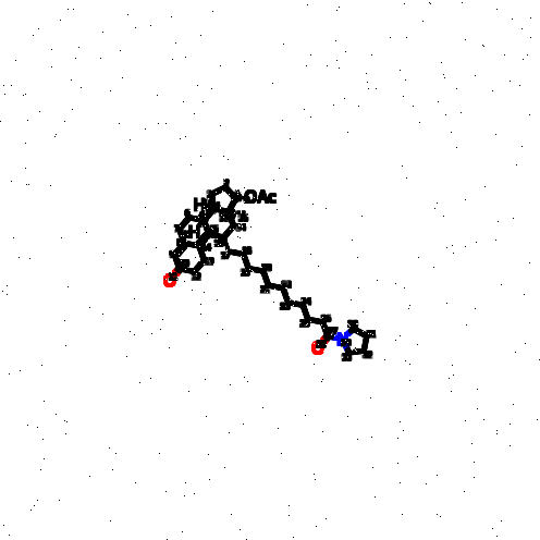 CC(=O)O[C@H]1CC[C@H]2[C@@H]3CCC4=CC(=O)CCC4=C3[C@@H](CCCCCCCCCCC(=O)N3CCCC3)C[C@]12C